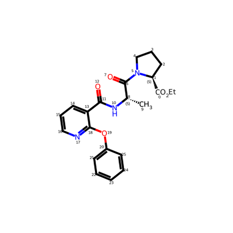 CCOC(=O)[C@@H]1CCCN1C(=O)[C@H](C)NC(=O)c1cccnc1Oc1ccccc1